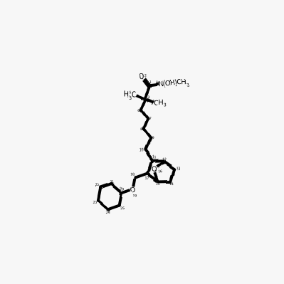 CN(O)C(=O)C(C)(C)CCCCCC1C2CCC(O2)C1COC1CCCCC1